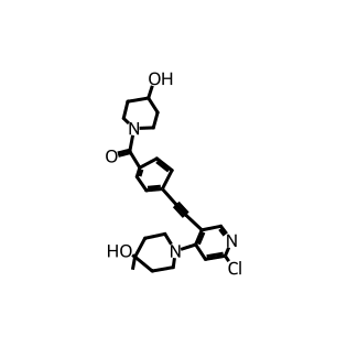 CC1(O)CCN(c2cc(Cl)ncc2C#Cc2ccc(C(=O)N3CCC(O)CC3)cc2)CC1